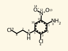 Nc1cc(Cl)c(NCCCl)cc1[N+](=O)[O-]